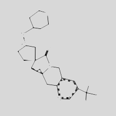 O=C1N2Cc3cc(C(F)(F)F)cnc3CC23CCCC3[C@@]12CC[C@@H](NC1CCOCC1)C2